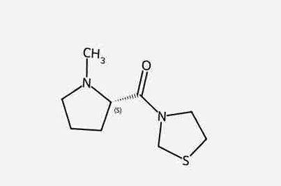 CN1CCC[C@H]1C(=O)N1CCSC1